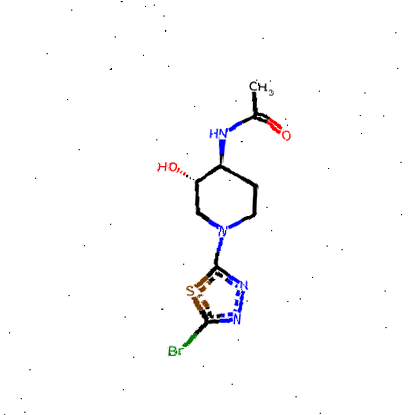 CC(=O)N[C@H]1CCN(c2nnc(Br)s2)C[C@@H]1O